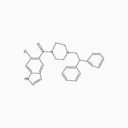 O=C(c1cc2cc[nH]c2cc1Cl)N1CCN(CC(c2ccccc2)c2ccccc2)CC1